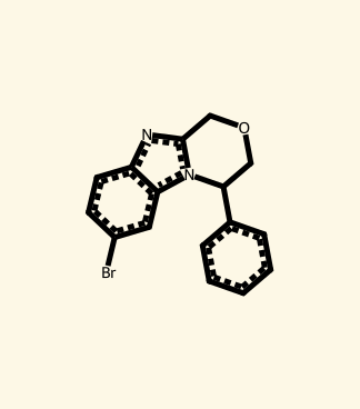 Brc1ccc2nc3n(c2c1)C(c1ccccc1)COC3